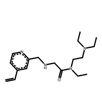 C=Cc1ccnc(CNCC(=O)N(CC)CCN(CC)CC)c1